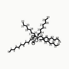 CCCCCCCCCCS(=O)(=O)OP(CCCCCCCC)(CCCCCCCC)(CCCCCCCC)CCCCCCCC